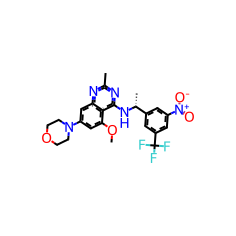 COc1cc(N2CCOCC2)cc2nc(C)nc(N[C@H](C)c3cc([N+](=O)[O-])cc(C(F)(F)F)c3)c12